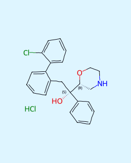 Cl.O[C@@](Cc1ccccc1-c1ccccc1Cl)(c1ccccc1)[C@H]1CNCCO1